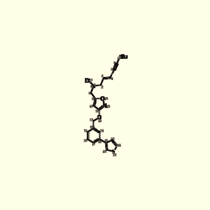 CCN(CC=CC#CC(C)(C)C)Cc1cc(OCc2cccc(-c3ccsc3)c2)no1